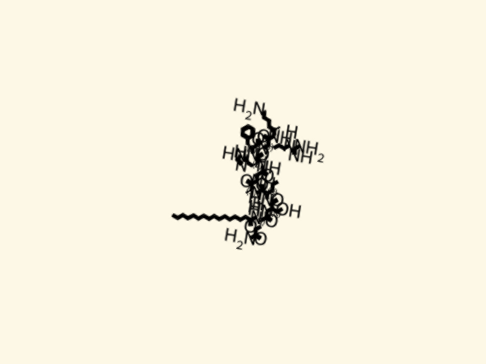 CCCCCCCCCCCCCCCC(=O)N[C@@H](CCC(N)=O)C(=O)NC(C(=O)NC(C(=O)N[C@@H](C)C(=O)NCC(=O)N[C@@H](Cc1c[nH]cn1)C(=O)N[C@@H](Cc1ccccc1)C(=O)N[C@@H](CCCNC(=N)N)C(=O)N[C@H](C)CCCCN)[C@@H](C)CC)[C@@H](C)O